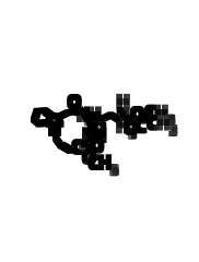 COC(=O)[C@H]1CC=CCn2cc(c3ccccc32)CC(=O)N[C@@H](CCCCNC(=O)OC(C)(C)C)C(=O)N1